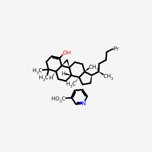 CC(C)CCC[C@@H](C)[C@H]1CC[C@@]2(C)[C@@H]3CC[C@H]4C(C)(C)CC=C(O)[C@@]45C[C@@]35CC[C@]12C.O=C(O)c1cccnc1